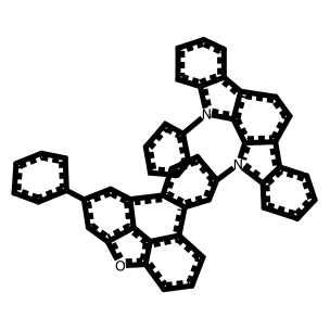 c1ccc(-c2cc3oc4cccc5c6cc(-n7c8ccccc8c8ccc9c%10ccccc%10n(-c%10ccccc%10)c9c87)ccc6c(c2)c3c45)cc1